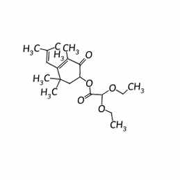 CCOC(OCC)C(=O)OC1CC(C)(C)C(C=C(C)C)=C(C)C1=O